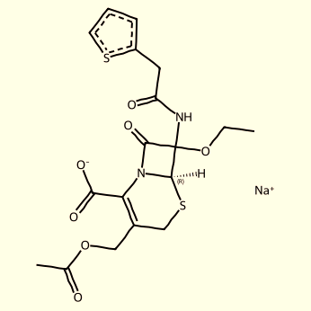 CCOC1(NC(=O)Cc2cccs2)C(=O)N2C(C(=O)[O-])=C(COC(C)=O)CS[C@@H]21.[Na+]